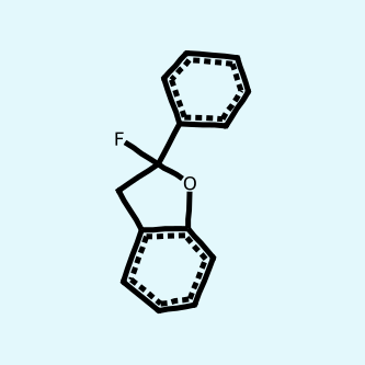 FC1(c2ccccc2)Cc2ccccc2O1